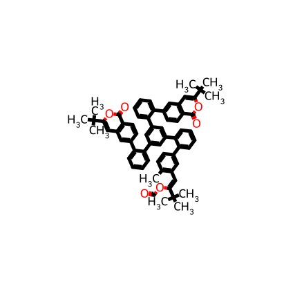 Cc1ccc(-c2ccccc2-c2cc(-c3ccccc3-c3ccc4c(=O)oc(C(C)(C)C)cc4c3)cc(-c3ccccc3-c3ccc4c(=O)oc(C(C)(C)C)cc4c3)c2)cc1/C=C(\OC=O)C(C)(C)C